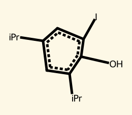 CC(C)c1cc(I)c(O)c(C(C)C)c1